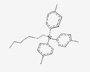 CCCCCC[N+](c1ccc(C)cc1)(c1ccc(C)cc1)c1ccc(C)cc1